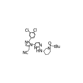 CC(C)(C)C(=O)N1CCC[C@H](Nc2nccc(-n3c(CC#N)cnc3-c3ccc(Cl)c(Cl)c3)n2)C1